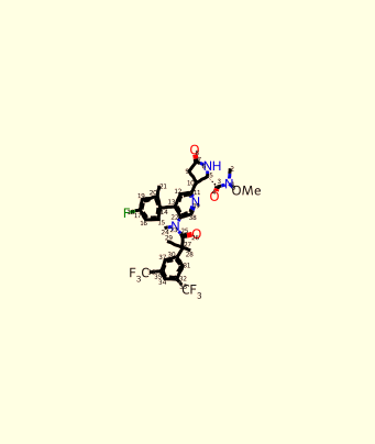 CON(C)C(=O)[C@H]1NC(=O)CC1c1cc(-c2ccc(F)cc2C)c(N(C)C(=O)C(C)(C)c2cc(C(F)(F)F)cc(C(F)(F)F)c2)cn1